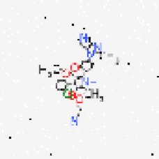 CCOC(=O)C1=C(c2ccc(-n3c(C)nc4cnccc43)cc2)NC(C)=C(C(=O)OCCC#N)C1c1ccccc1Cl